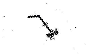 CCCCCCCC/C=C\CCCCCCCC(=O)NCCCCCCOC1[C@@H](O[PH](=O)O)[C@@H](CO)O[C@H]1n1ccc(=O)[nH]c1=O